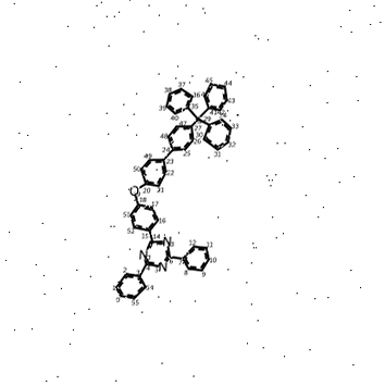 c1ccc(-c2nc(-c3ccccc3)nc(-c3ccc(Oc4ccc(-c5ccc(C(c6ccccc6)(c6ccccc6)c6ccccc6)cc5)cc4)cc3)n2)cc1